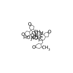 CC1CC2OC2CC1C1(C(=O)O)CC2OC2CC1C.CC1CC2OC2CC1CC(CCCC(=O)O)(CC1CC2OC2CC1C)C(=O)O